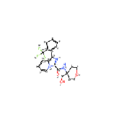 O=C(NC1(CO)CCOCC1)c1nc(-c2ccccc2C(F)(F)F)c2ccccn12